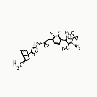 CC1CC2(c3cc(NC(=O)Cc4ccc(-c5nn(C6(C)CC6)c(N)c5C#N)c(F)c4F)on3)CCC12